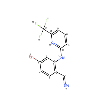 N=Cc1ccc(Br)cc1Nc1cccc(C(F)(F)F)n1